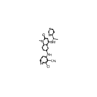 CC(Nc1cc(=O)n(C)c2ccc(Nc3ccnc(Cl)c3C#N)cc12)c1ccncn1